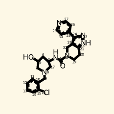 O=C(NC1CC(O)CN(Cc2ccccc2Cl)C1)N1CCc2[nH]nc(-c3ccncc3)c2C1